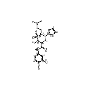 CN(C)CCN1C(c2cccs2)CC(C(=O)Nc2ccc(F)c(Cl)c2)N(C)S1(=O)=O